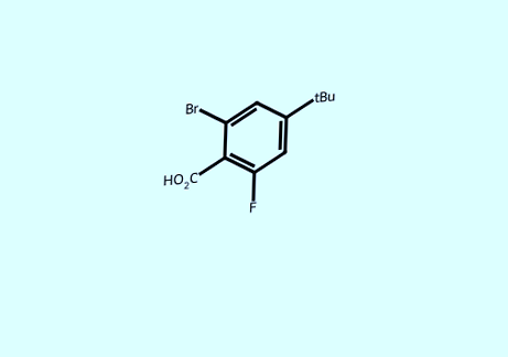 CC(C)(C)c1cc(F)c(C(=O)O)c(Br)c1